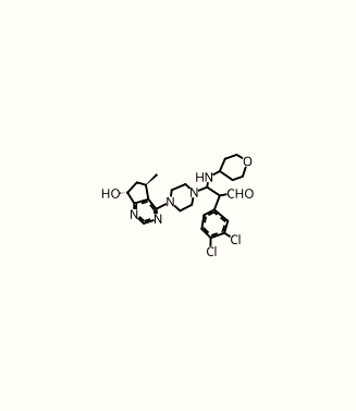 C[C@@H]1C[C@@H](O)c2ncnc(N3CCN(C(NC4CCOCC4)C(C=O)c4ccc(Cl)c(Cl)c4)CC3)c21